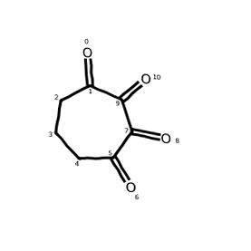 O=C1CCCC(=O)C(=O)C1=O